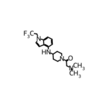 CN(C)CC(=O)N1CCC(Nc2cccc3c2ccn3CC(F)(F)F)CC1